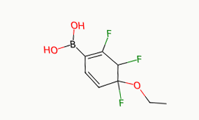 CCOC1(F)C=CC(B(O)O)=C(F)C1F